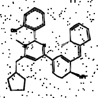 CCC[C@H]1CC=C(C2=N[C@@H](c3ccccc3N=O)N(C)C(CC3CCCC3)=C2)C=C1/C=C1/C=CC=C[C@H]1C